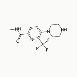 CNC(=O)c1ccc(N2CCNCC2)c(C(F)(F)F)n1